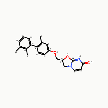 Cc1cc(OC[C@@H]2Cn3ccc(=O)nc3O2)ccc1-c1cccc(C)c1C